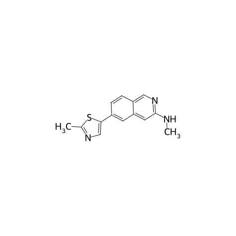 CNc1cc2cc(-c3cnc(C)s3)ccc2cn1